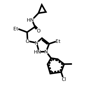 CCC1=CN(OC(CC)C(=O)NC2CC2)NN1c1ccc(Cl)c(C)c1